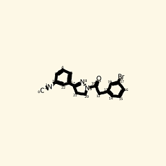 [C-]#[N+]c1cccc(C2=NN(C(=O)Cc3cccc(Br)c3)CC2)c1